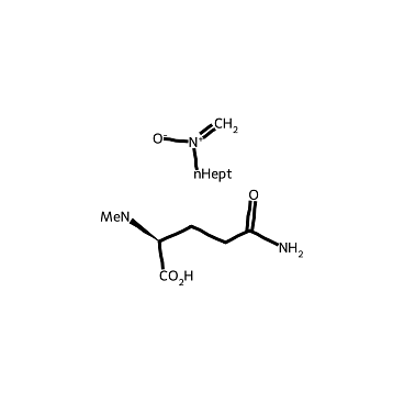 C=[N+]([O-])CCCCCCC.CN[C@@H](CCC(N)=O)C(=O)O